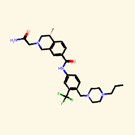 CCCN1CCN(Cc2ccc(NC(=O)c3ccc4c(c3)CN(CC(N)=O)C[C@@H]4C)cc2C(F)(F)F)CC1